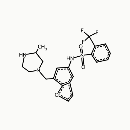 CC1CN(Cc2cc(NS(=O)(=O)c3ccccc3C(F)(F)F)cc3ccoc23)CCN1